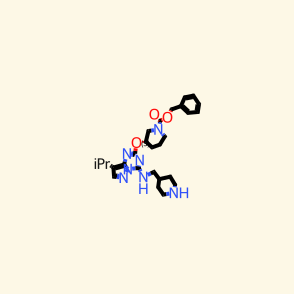 CC(C)c1cnn2c(NCC3CCNCC3)nc(O[C@H]3CCCN(C(=O)OCc4ccccc4)C3)nc12